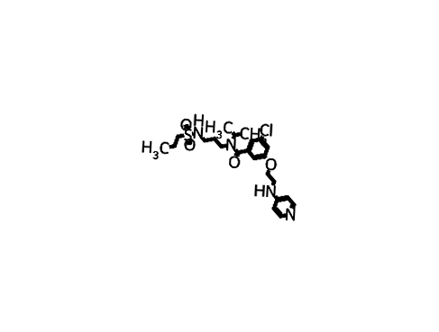 CCCS(=O)(=O)NCCCN(C(=O)c1cc(Cl)cc(OCCNc2ccncc2)c1)C(C)C